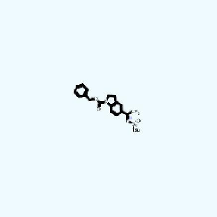 C/C(=N\[S@+]([O-])C(C)(C)C)c1ccc2c(c1)CCN2C(=O)OCc1ccccc1